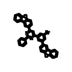 Brc1cc(-c2ccc3oc4ccccc4c3c2)cc(-c2cc(-c3ccc4oc5ccccc5c4c3)nc(-c3ccccc3)n2)c1